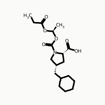 CCC(=O)O[C@@H](C)OC(=O)N1C[C@@H](CC2CCCCC2)C[C@H]1C(=O)O